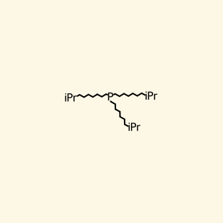 CC(C)CCCCCCCP(CCCCCCCC(C)C)CCCCCCCC(C)C